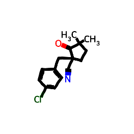 CC1(C)CCC(C#N)(Cc2ccc(Cl)cc2)C1=O